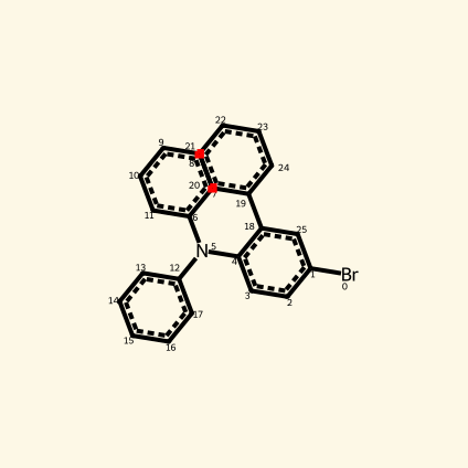 Brc1ccc(N(c2ccccc2)c2ccccc2)c(-c2ccccc2)c1